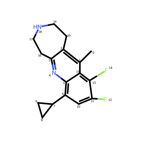 Cc1c2c(nc3c(C4CC4)cc(F)c(F)c13)CCNCC2